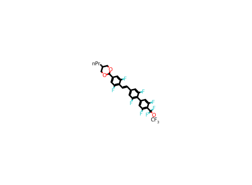 CCCC1COC(c2cc(F)c(/C=C/c3cc(F)c(-c4cc(F)c(C(F)(F)OC(F)(F)F)c(F)c4)c(F)c3)c(F)c2)OC1